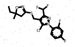 CCC1(C)CC(SCc2c(C(F)F)nn(-c3ccc(F)cc3F)c2Cl)=NO1